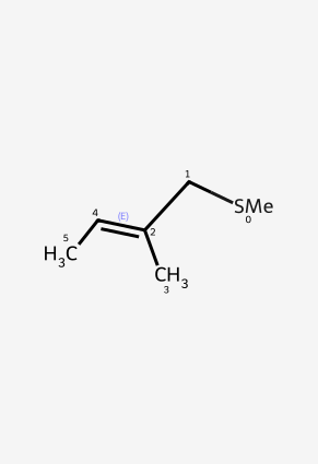 [CH2]SC/C(C)=C/C